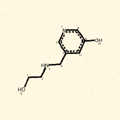 OCCNCc1cncc(O)c1